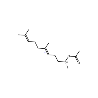 CC(=O)O[C@H](C)CC/C=C(\C)CCC=C(C)C